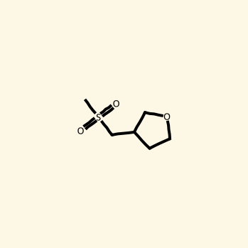 CS(=O)(=O)CC1CCOC1